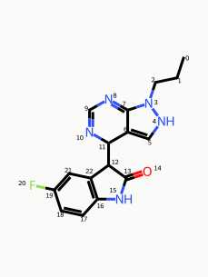 CCCN1NC=C2C1=NC=NC2C1C(=O)Nc2ccc(F)cc21